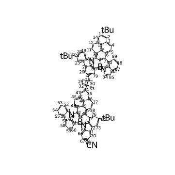 CC(C)(C)c1cc2ccc3c4c5c(c6ccc(c1)c2c36)-n1c2ccc(C(C)(C)C)cc2c2cc(C(C)(C)C(C)(C)c3cc6ccc7c8c9c(c%10ccc(c3)c6c7%10)-n3c6ccccc6c6cccc(c63)B9n3c6ccc(C#N)cc6c6cc(C(C)(C)C)cc-8c63)cc(c21)B5n1ccc2cccc-4c21